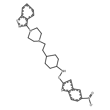 O=[N+]([O-])c1ccc2sc(SNC3CCC(CCN4CCN(c5nsc6ccccc56)CC4)CC3)cc2c1